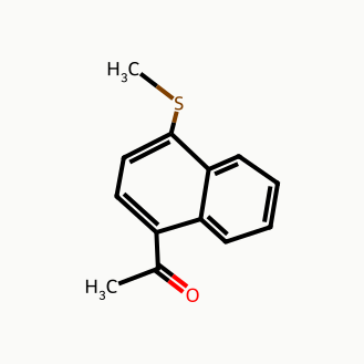 CSc1ccc(C(C)=O)c2ccccc12